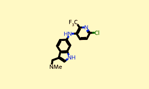 CNCc1c[nH]c2cc(Nc3ccc(Cl)nc3C(F)(F)F)ccc12